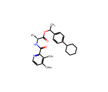 COc1ccnc(C(=O)N[C@H](C(=O)OC(C)c2ccc(C3CCCCC3)cc2)C(C)C)c1OC(C)=O